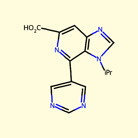 CC(C)n1cnc2cc(C(=O)O)nc(-c3cncnc3)c21